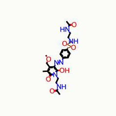 COCc1c(/N=N/c2ccc(S(=O)(=O)NCCNC(C)=O)cc2)c(O)n(CCNC(C)=O)c(=O)c1C